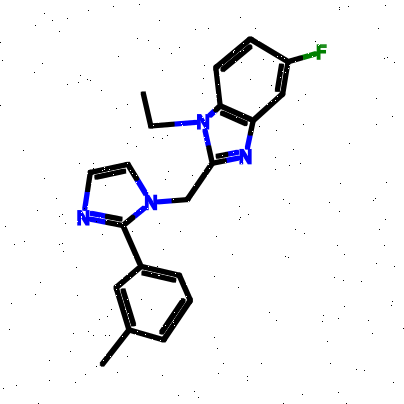 CCn1c(Cn2ccnc2-c2cccc(C)c2)nc2cc(F)ccc21